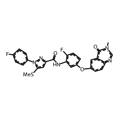 CSc1cc(C(=O)Nc2cc(Oc3ccc4ncn(C)c(=O)c4c3)ccc2F)nn1-c1ccc(F)cc1